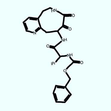 CC(C)C(NC(=O)OCc1ccccc1)C(=O)NC1Cc2ncccc2CCNC(=O)C1=O